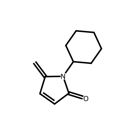 C=C1C=CC(=O)N1C1CCCCC1